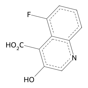 O=C(O)c1c(O)cnc2cccc(F)c12